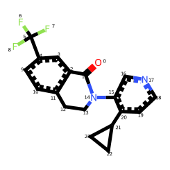 O=C1c2cc(C(F)(F)F)ccc2CCN1c1cnccc1C1CC1